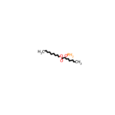 CCCCCCCCCOC(=O)C(CCCCCC)OP